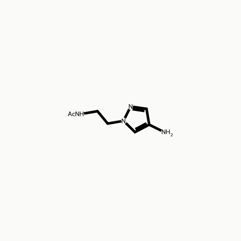 CC(=O)NCCn1cc(N)cn1